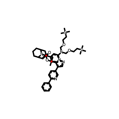 CC(C)(C)OC(=O)N1C2C=C(c3cc(N(COCC[Si](C)(C)C)COCC[Si](C)(C)C)n4ncc(-c5ccc(-c6ccccc6)nc5)c4n3)CC1CCC2